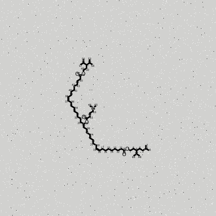 CC(C)CCC(CCOC(=O)CCCCCCC/C=C\CCCCCCCCC(CCCCCCCC/C=C\CCCCCCCC(=O)OCCC(C(C)C)C(C)C)OC(=O)CCCN(C)C)C(C)C